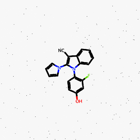 N#Cc1c(-n2cccc2)n(-c2ccc(O)cc2F)c2ccccc12